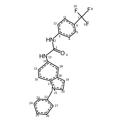 O=C(Nc1ccc(C(F)(F)F)cc1)Nc1ccc2c(ccn2-c2ccccc2)c1